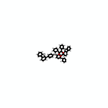 c1ccc(-c2ccc(N(c3ccc(-c4cccc5c4oc4ccccc45)cc3)c3ccccc3-c3ccccc3-c3ccccc3-n3c4ccccc4c4ccccc43)cc2)cc1